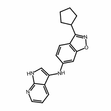 c1cnc2[nH]cc(Nc3ccc4c(C5CCCC5)noc4c3)c2c1